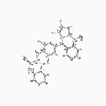 CC1=C(C)C2C(c3cc(C)c(O[C@H](Cc4ccccc4)C(=O)O)c(C)c3)=c3ccccc3=C(Br)C2S1